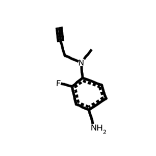 C#CCN(C)c1ccc(N)cc1F